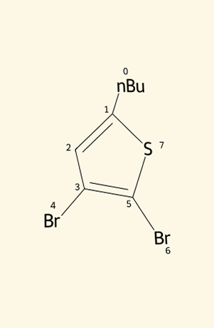 CCCCc1cc(Br)c(Br)s1